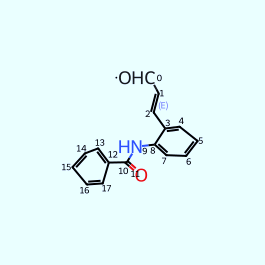 O=[C]/C=C/c1ccccc1NC(=O)c1ccccc1